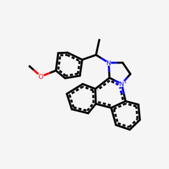 COc1ccc(C(C)N2CC[n+]3c2c2ccccc2c2ccccc23)cc1